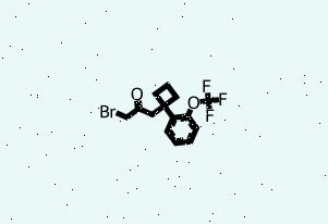 O=C(CBr)CC1(c2ccccc2OC(F)(F)F)CCC1